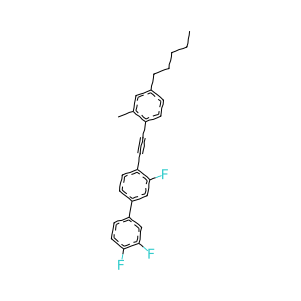 CCCCCc1ccc(C#Cc2ccc(-c3ccc(F)c(F)c3)cc2F)c(C)c1